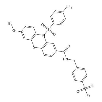 CCOc1ccc2c(c1)Sc1ccc(C(=O)NCc3ccc(S(=O)(=O)CC)cc3)cc1N2S(=O)(=O)c1ccc(C(F)(F)F)cc1